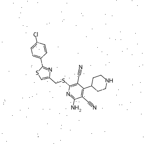 N#Cc1c(N)nc(SCc2csc(-c3ccc(Cl)cc3)n2)c(C#N)c1C1CCNCC1